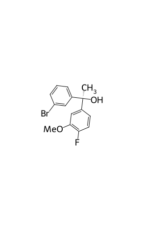 COc1cc([C@](C)(O)c2cccc(Br)c2)ccc1F